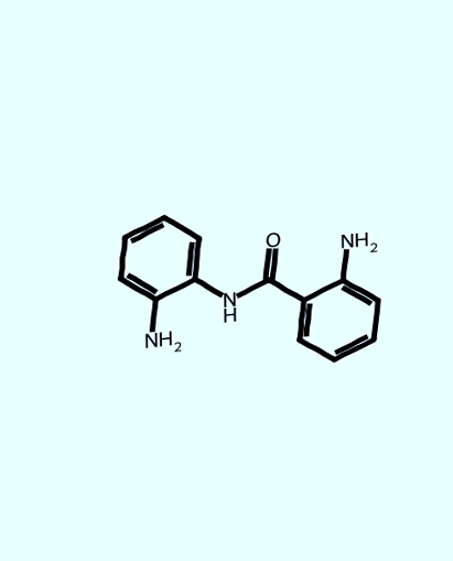 Nc1ccccc1NC(=O)c1ccccc1N